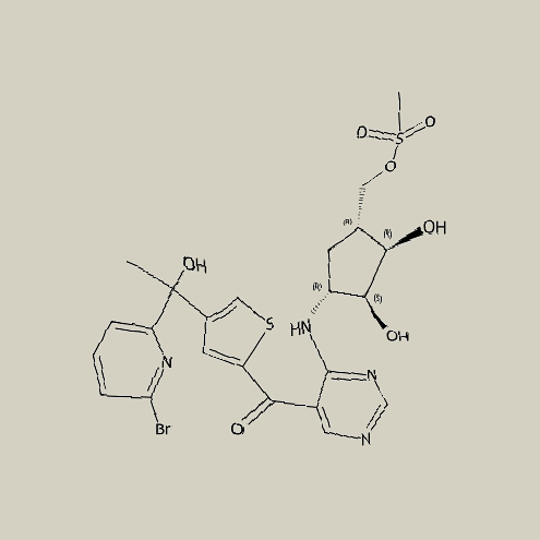 CC(O)(c1csc(C(=O)c2cncnc2N[C@@H]2C[C@H](COS(C)(=O)=O)[C@@H](O)[C@H]2O)c1)c1cccc(Br)n1